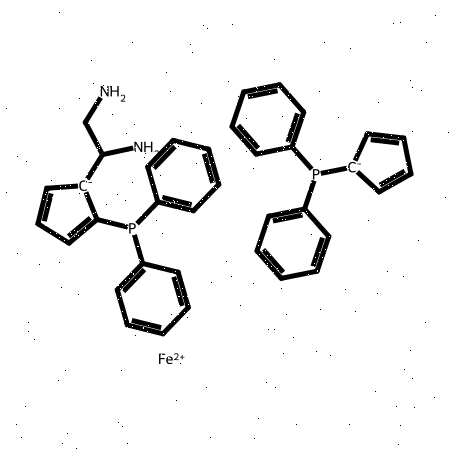 NCC(N)[c-]1cccc1P(c1ccccc1)c1ccccc1.[Fe+2].c1ccc(P(c2ccccc2)[c-]2cccc2)cc1